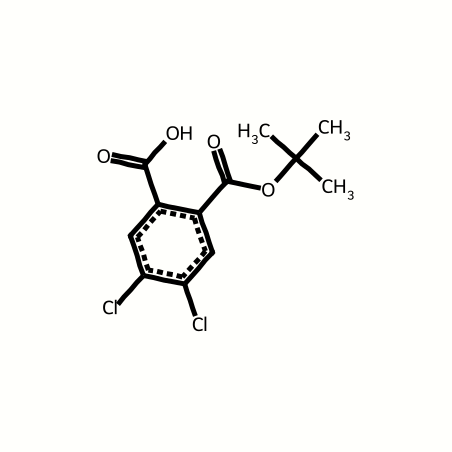 CC(C)(C)OC(=O)c1cc(Cl)c(Cl)cc1C(=O)O